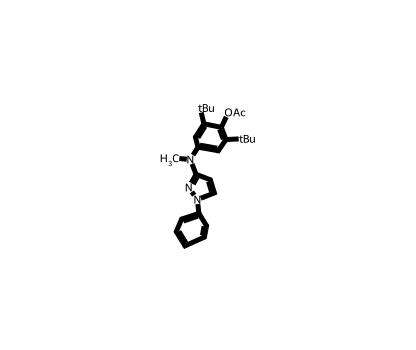 CC(=O)Oc1c(C(C)(C)C)cc(N(C)c2ccn(-c3ccccc3)n2)cc1C(C)(C)C